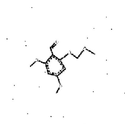 COCOc1cc(OC)cc(OC)c1C=O